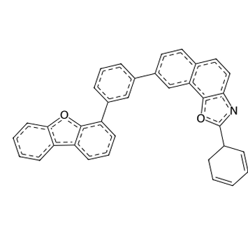 C1=CCC(c2nc3ccc4ccc(-c5cccc(-c6cccc7c6oc6ccccc67)c5)cc4c3o2)C=C1